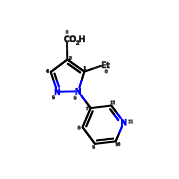 CCc1c(C(=O)O)cnn1-c1cccnc1